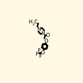 C=CCN1CCN(C(=O)COc2ccc(OC(F)(F)F)cc2)CC1